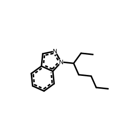 CCCCC(CC)n1ncc2ccccc21